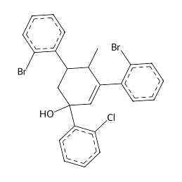 CC1C(c2ccccc2Br)=CC(O)(c2ccccc2Cl)CC1c1ccccc1Br